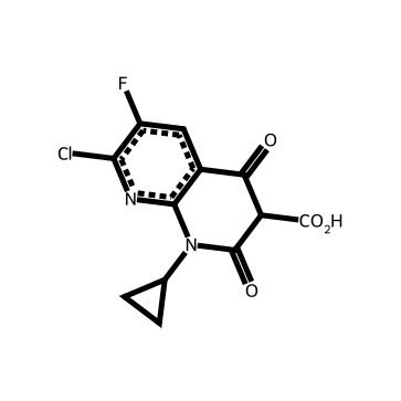 O=C(O)C1C(=O)c2cc(F)c(Cl)nc2N(C2CC2)C1=O